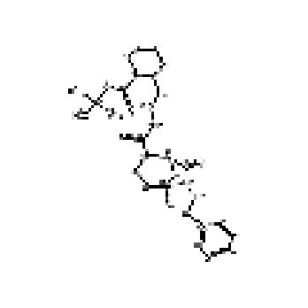 CC(C)(C)OC(=O)N1CCCC[C@H]1CONC(=O)[C@@H]1CC[C@@H]2CN1C(=O)N2OCc1ccccc1